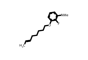 CC=CCCCCCOc1cccc(NC)c1F